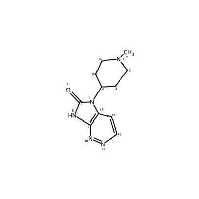 CN1CCC(n2c(=O)[nH]c3nnccc32)CC1